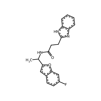 CC(NC(=O)CCc1nc2ccccc2[nH]1)c1cc2ccc(F)cc2o1